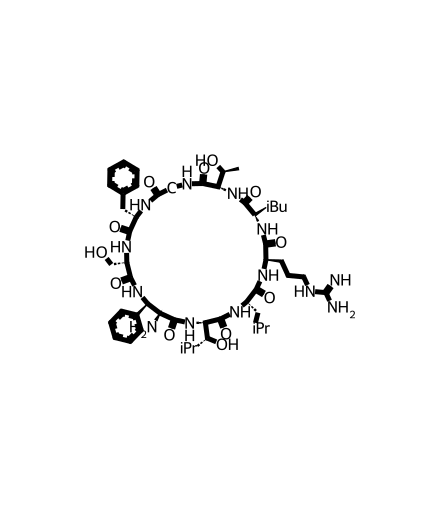 CC[C@H](C)[C@@H]1NC(=O)[C@@H](CCCNC(=N)N)NC(=O)[C@H](CC(C)C)NC(=O)[C@H]([C@H](O)C(C)C)NC(=O)[C@@H](N)[C@@H](c2ccccc2)NC(=O)[C@H](CO)NC(=O)[C@H](Cc2ccccc2)NC(=O)CNC(=O)[C@H]([C@H](C)O)NC1=O